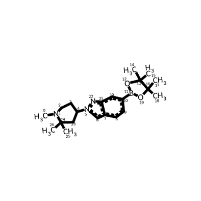 CN1CCC(n2cc3ccc(B4OC(C)(C)C(C)(C)O4)cc3n2)CC1(C)C